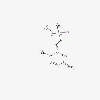 C=C/C=C\C(C)/C(C)=C/CC(C)(I)C=C